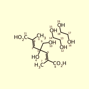 CC(=CC(O)(C=C(C)C(=O)O)CO)C(=O)O.OCCO.OCCO